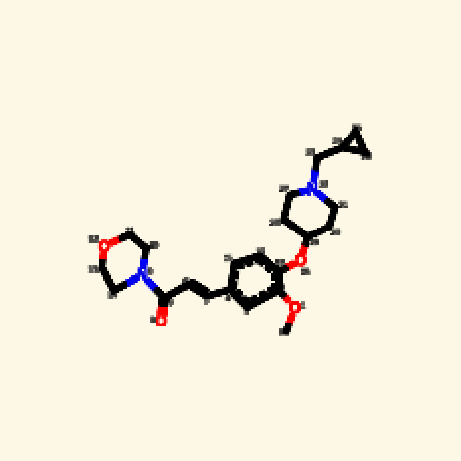 COc1cc(C=CC(=O)N2CCOCC2)ccc1OC1CCN(CC2CC2)CC1